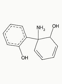 NC1(c2ccccc2O)C=CC=CC1O